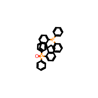 O=P(c1ccccc1)(c1ccccc1)c1cccc2c1[C@]1(CCc3cccc(P(c4ccccc4)c4ccccc4)c31)CC2